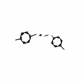 Cc1ccc(N=NNc2ccc(C)cc2)cc1